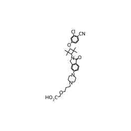 CC1(C)[C@H](Oc2ccc(C#N)c(Cl)c2)C(C)(C)[C@H]1N1Cc2cc(N3CCN(CCCOCC(=O)O)CC3)ccc2C1=O